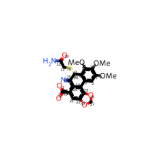 COc1cc2c(c(OC)c1OC)[C@@H](SCC(N)=O)c1noc(=O)c3cc4c(c-2c13)OCO4